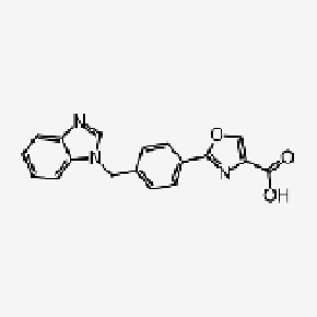 O=C(O)c1coc(-c2ccc(Cn3cnc4ccccc43)cc2)n1